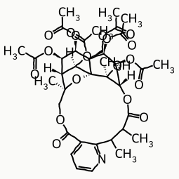 CC(=O)OC[C@]12[C@H](OC(C)=O)[C@H](OC(C)=O)[C@@H]3[C@@H](OC(C)=O)[C@@]14O[C@@]3(C)COC(=O)c1cccnc1C(C)C(C)C(=O)O[C@@H]([C@H](OC(C)=O)[C@@H]2OC(C)=O)[C@]4(C)O